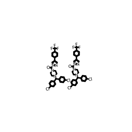 O=C(N1CCN(C(c2ccc(Cl)cc2)c2ccc(Cl)cc2)CC1)n1cc(-c2ccc(C(F)(F)F)cc2)cn1.O=C(N1CCN(C(c2ccc(Cl)cc2)c2ccc(Cl)cc2)CC1)n1cc(-c2ccc(C(F)(F)F)cc2)cn1